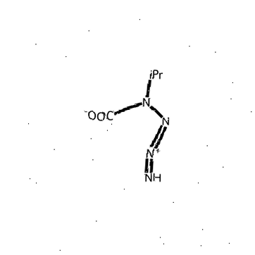 CC(C)N(N=[N+]=N)C(=O)[O-]